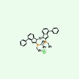 CC(C)CP(CC(C)C)C1=Cc2c(-c3ccccc3)cccc2[CH]1[Ti+2][CH]1C(P(CC(C)C)CC(C)C)=Cc2c(-c3ccccc3)cccc21.[Cl-].[Cl-]